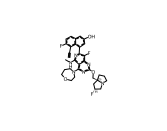 C#Cc1c(F)ccc2cc(O)cc(-c3nc(NC)c4c(N5CCCOCC5)nc(OC[C@@]56CCCN5C[C@H](F)C6)nc4c3F)c12